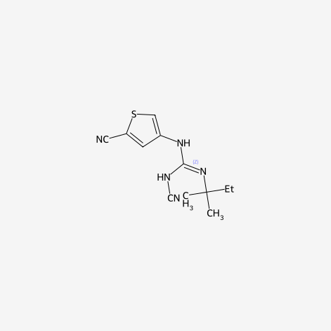 CCC(C)(C)/N=C(\NC#N)Nc1csc(C#N)c1